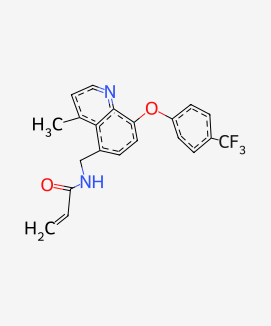 C=CC(=O)NCc1ccc(Oc2ccc(C(F)(F)F)cc2)c2nccc(C)c12